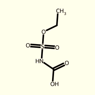 CCOS(=O)(=O)NC(=O)O